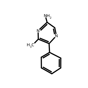 Cc1nc(N)cnc1-c1ccccc1